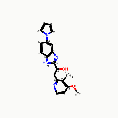 CCOc1ccnc(CC(O)c2nc3cc(-n4cccc4)ccc3[nH]2)c1C